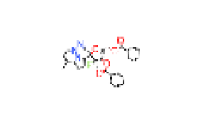 Cc1ccnn2c(C3(C#N)O[C@H](COC(=O)c4ccccc4)[C@@H](OC(=O)c4ccccc4)[C@@]3(C)F)ccc12